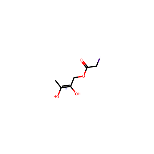 C/C(O)=C(/O)COC(=O)CI